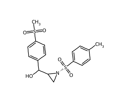 Cc1ccc(S(=O)(=O)[N@]2CC2C(O)c2ccc(S(C)(=O)=O)cc2)cc1